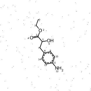 CCOC(=O)C(O)Cc1ccc(N)cc1